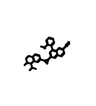 COc1ccccc1-c1cc(C2CC2c2ccc3c(c2)C(C(C)C)N(C)CC3)cc2ccc(C#N)cc12